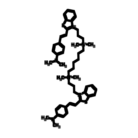 CN(C)c1ccc(/C=C/c2sc3ccccc3[n+]2CCC[N+](C)(C)CCCCCC[N+](C)(C)CCC[n+]2c(/C=C/c3ccc(N(C)C)cc3)sc3ccccc32)cc1